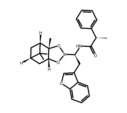 C[C@H](C(=O)N[C@@H](Cc1coc2ccccc12)B1O[C@@H]2C[C@@H]3C[C@@H](C3(C)C)[C@]2(C)O1)c1ccccc1